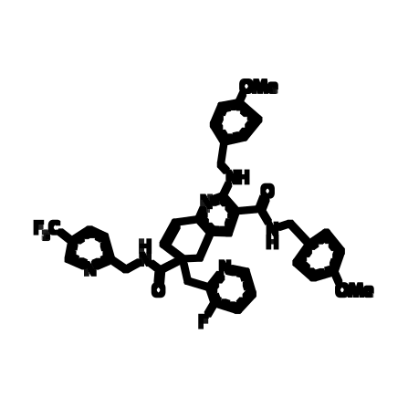 COc1ccc(CNC(=O)c2cc3c(nc2NCc2ccc(OC)cc2)C=CC(Cc2ncccc2F)(C(=O)NCc2ccc(C(F)(F)F)cn2)C3)cc1